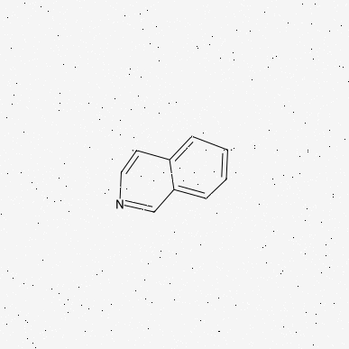 [c]1ccc2cnc[c]c2c1